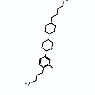 CCCCCC1CCC([C@H]2CS[C@H](c3ccc(CCCC)c(F)c3)SC2)CC1